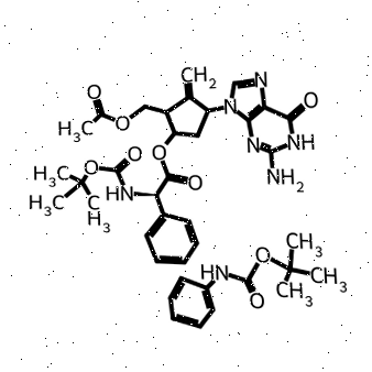 C=C1C(COC(C)=O)C(OC(=O)[C@H](NC(=O)OC(C)(C)C)c2ccccc2)CC1n1cnc2c(=O)[nH]c(N)nc21.CC(C)(C)OC(=O)Nc1ccccc1